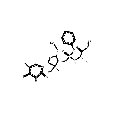 Cc1cn([C@@H]2O[C@H](CO)[C@@H](OP(=O)(N[C@@H](C)C(=O)OC(C)C)Oc3ccccc3)[C@@]2(C)Cl)c(=O)[nH]c1=O